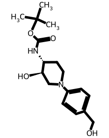 CC(C)(C)OC(=O)N[C@@H]1CCN(c2ccc(CO)cc2)C[C@H]1O